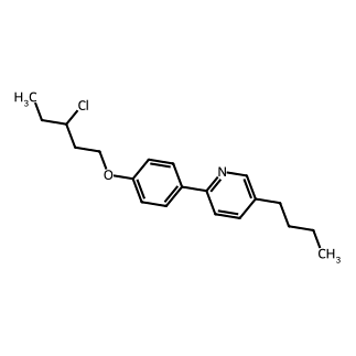 CCCCc1ccc(-c2ccc(OCCC(Cl)CC)cc2)nc1